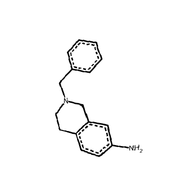 Nc1ccc2c(c1)CN(Cc1ccccc1)CC2